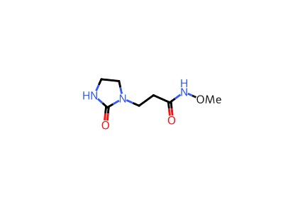 CONC(=O)CCN1CCNC1=O